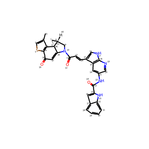 Cc1csc2c1[C@@]13C[C@@H]1CN(C(=O)C=Cc1c[nH]c4ncc(NC(=O)c5cc6ccccc6[nH]5)cc14)C3=CC2=O